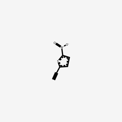 [C]#Cc1ccc([N+](=O)[O-])s1